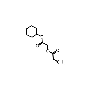 CCC(=O)OCC(=O)OC1CCCCC1